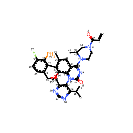 C=CC(=O)N1CCN(c2nc(=O)n(-c3c(C(C)C)ncnc3C(C)C)c3c4c(c(C)cc23)-c2c(ccc(F)c2P)CO4)[C@@H](C)C1